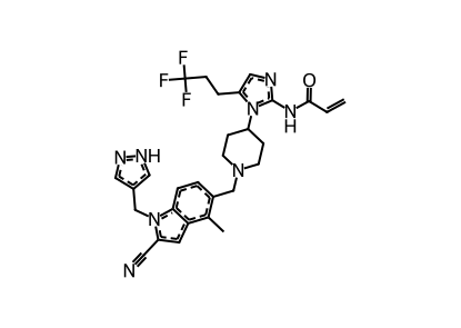 C=CC(=O)Nc1ncc(CCC(F)(F)F)n1C1CCN(Cc2ccc3c(cc(C#N)n3Cc3cn[nH]c3)c2C)CC1